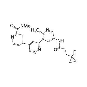 CNC(=O)c1cc(-c2cnnc(-c3cc(NC(=O)CCC4(F)CC4)cnc3C)c2)ccn1